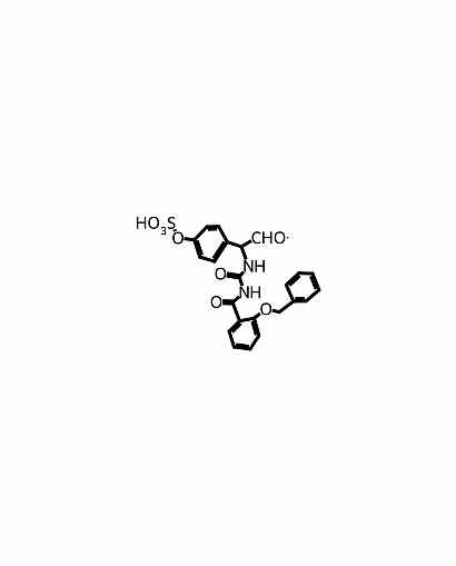 O=[C]C(NC(=O)NC(=O)c1ccccc1OCc1ccccc1)c1ccc(OS(=O)(=O)O)cc1